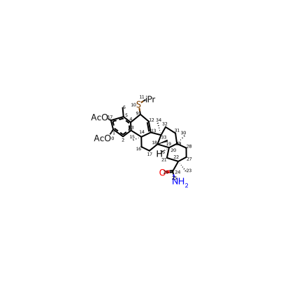 CC(=O)Oc1cc2c(c(C)c1OC(C)=O)C(SC(C)C)C=C1[C@@]2(C)CC[C@@]2(C)[C@@H]3C[C@](C)(C(N)=O)CC[C@]3(C)CC[C@]12C